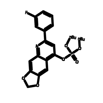 CCCCOP(=O)(OCCCC)Oc1cc(-c2cccc(F)c2)nc2cc3c(cc12)OCO3